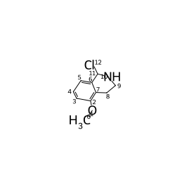 COc1cccc2c1CCNC2Cl